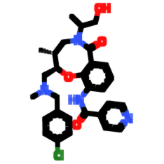 CC(CO)N1C[C@@H](C)[C@H](CN(C)Cc2ccc(Cl)cc2)Oc2c(NC(=O)c3ccncc3)cccc2C1=O